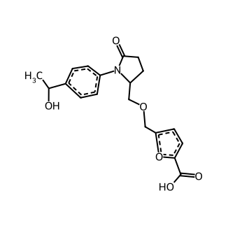 CC(O)c1ccc(N2C(=O)CCC2COCc2ccc(C(=O)O)o2)cc1